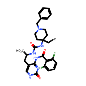 CC(C)CC1(NC(=O)NC(Cc2c[nH]c(=O)nc2NC(=O)c2c(Cl)cccc2Cl)C(=O)O)CCN(Cc2ccccc2)CC1